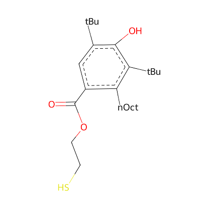 CCCCCCCCc1c(C(=O)OCCS)cc(C(C)(C)C)c(O)c1C(C)(C)C